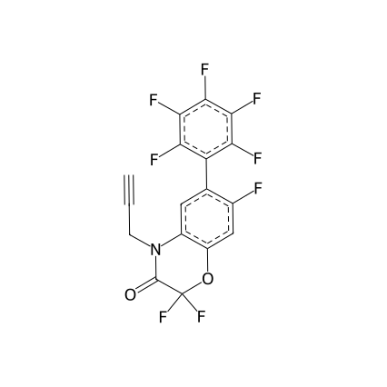 C#CCN1C(=O)C(F)(F)Oc2cc(F)c(-c3c(F)c(F)c(F)c(F)c3F)cc21